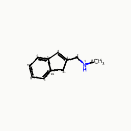 CNCC1=Cc2ccccc2C1